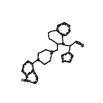 O=CC(c1ccsc1)N1c2ccccc2CCC1CN1CCN(c2cccc3[nH]ccc23)CC1